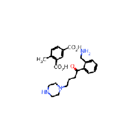 Cc1ccc(C(=O)O)cc1C(=O)O.NCc1ccccc1C(=O)CCCN1CCNCC1